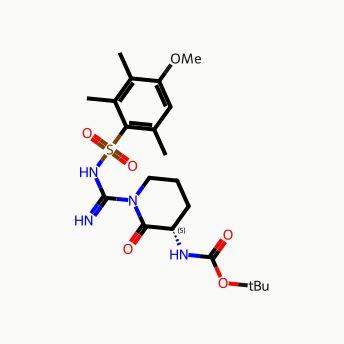 COc1cc(C)c(S(=O)(=O)NC(=N)N2CCC[C@H](NC(=O)OC(C)(C)C)C2=O)c(C)c1C